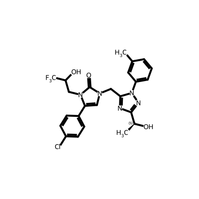 Cc1cccc(-n2nc([C@H](C)O)nc2Cn2cc(-c3ccc(Cl)cc3)n(CC(O)C(F)(F)F)c2=O)c1